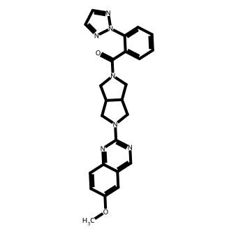 COc1ccc2nc(N3CC4CN(C(=O)c5ccccc5-n5nccn5)CC4C3)ncc2c1